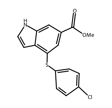 COC(=O)c1cc(Sc2ccc(Cl)cc2)c2cc[nH]c2c1